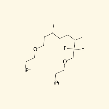 CC(C)CCOCCC(C)CCC(C)C(F)(F)COCCC(C)C